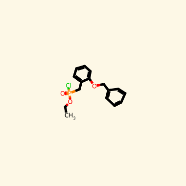 CCOP(=O)(Cl)Cc1ccccc1OCc1ccccc1